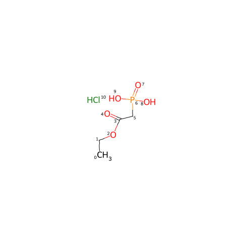 CCOC(=O)CP(=O)(O)O.Cl